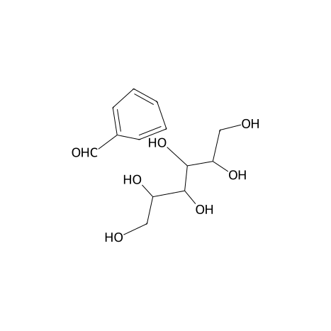 O=Cc1ccccc1.OCC(O)C(O)C(O)C(O)CO